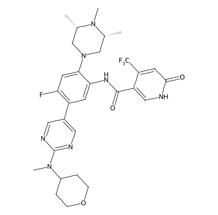 C[C@@H]1CN(c2cc(F)c(-c3cnc(N(C)C4CCOCC4)nc3)cc2NC(=O)c2c[nH]c(=O)cc2C(F)(F)F)C[C@H](C)N1C